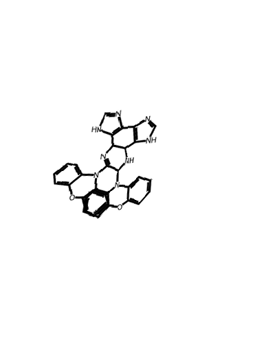 c1ccc2c(c1)Oc1ccccc1N2C1=NC2c3[nH]cnc3-c3nc[nH]c3C2NC1N1c2ccccc2Oc2ccccc21